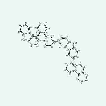 c1ccc2c(c1)ccc1c(-c3ccc4sc5ccc(-c6ccc7c(c6)c6ccccc6c6c7ccc7sc8ccccc8c76)cc5c4c3)cccc12